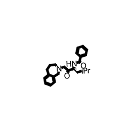 CC(C)C[C@H](NC(=O)c1ccccc1)C(=O)CN1CCCc2ccccc2C1